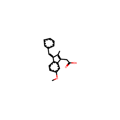 COc1ccc2c(c1)C(CC(=O)O)=C(C)/C2=C\c1ccccc1